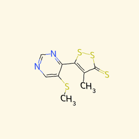 CSc1cncnc1-c1ssc(=S)c1C